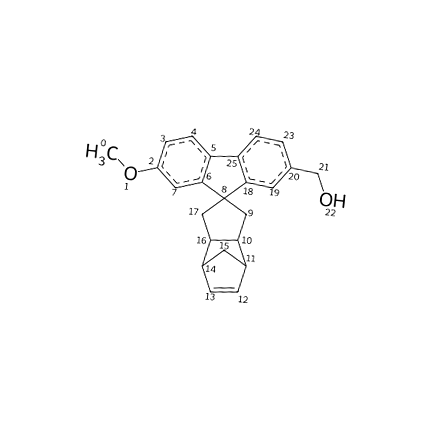 COc1ccc2c(c1)C1(CC3C4C=CC(C4)C3C1)c1cc(CO)ccc1-2